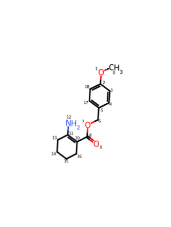 COc1ccc(COC(=O)C2=C(N)CCCC2)cc1